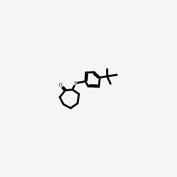 CC(C)(C)c1ccc(SC2CCCCCC2=O)cc1